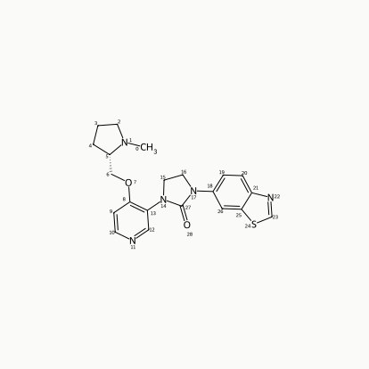 CN1CCC[C@H]1COc1ccncc1N1CCN(c2ccc3ncsc3c2)C1=O